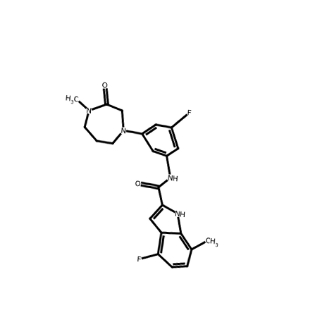 Cc1ccc(F)c2cc(C(=O)Nc3cc(F)cc(N4CCCN(C)C(=O)C4)c3)[nH]c12